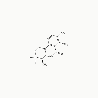 COC(=O)c1c(N2CCC(F)(F)[C@H](C)C2)ncc(C(F)(F)F)c1C